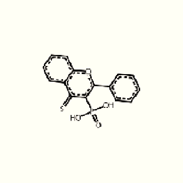 O=P(O)(O)c1c(-c2ccccc2)oc2ccccc2c1=S